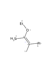 CCO/C([SiH3])=C(/C)[C](C)C